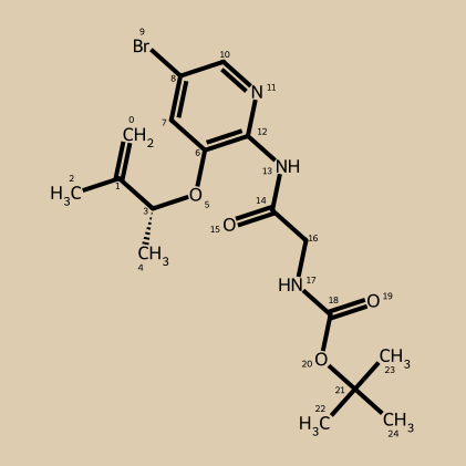 C=C(C)[C@@H](C)Oc1cc(Br)cnc1NC(=O)CNC(=O)OC(C)(C)C